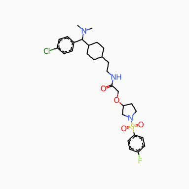 CN(C)C(c1ccc(Cl)cc1)C1CCC(CCNC(=O)COC2CCN(S(=O)(=O)c3ccc(F)cc3)C2)CC1